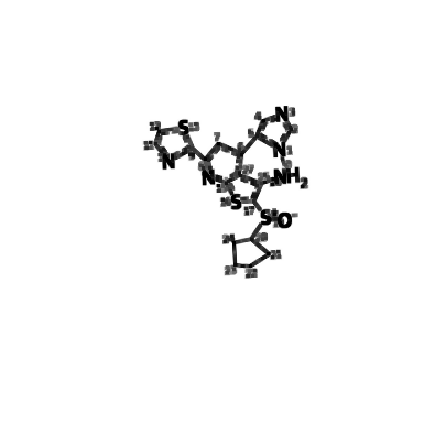 Cn1cncc1-c1cc(-c2nccs2)nc2sc([S+]([O-])C3CCCC3)c(N)c12